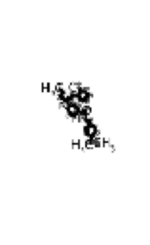 CCCc1nc2ccc(C(=O)NCc3ccc(N(C)C)cc3)cc2n1Cc1ccccc1Cl